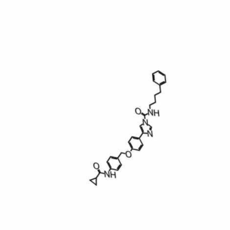 O=C(Nc1ccc(COc2ccc(-c3cn(C(=O)NCCCCc4ccccc4)cn3)cc2)cc1)C1CC1